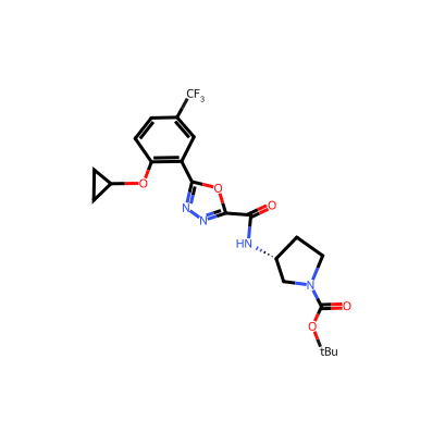 CC(C)(C)OC(=O)N1CC[C@@H](NC(=O)c2nnc(-c3cc(C(F)(F)F)ccc3OC3CC3)o2)C1